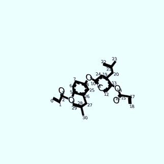 C=CC(=O)Oc1ccc(Oc2ccc(OC(=O)C=C)c(CC(=C)C)c2)cc1CC(=C)C